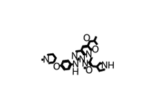 CC(C)C(=O)c1cc2cnc(Nc3ccc(OC4CCCN(C)C4)cc3)nc2n(Cc2ncoc2C2CCNC2)c1=O